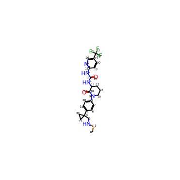 CSNCC1(c2ccc(N3CCCC(NC(=O)Nc4ccc(C(F)(F)F)cn4)C3=O)cc2)CC1